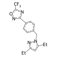 CCc1cc(CC)n(Cc2ccc(-c3noc(C(F)(F)F)n3)cc2)n1